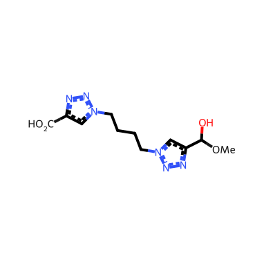 COC(O)c1cn(CCCCn2cc(C(=O)O)nn2)nn1